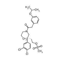 CC(C)Oc1cccc(CC(=O)N2CCO[C@](CCOS(C)(=O)=O)(c3ccc(Cl)c(Cl)c3)C2)c1